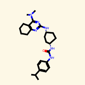 CC(C)c1ccc(NC(=O)N[C@H]2CC[C@@H](Nc3nc4c(c(N(C)C)n3)CCCC4)CC2)cc1